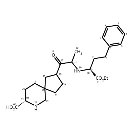 CCOC(=O)[C@H](CCc1ccccc1)NC(C)C(=O)C1CCC2(CC[C@@H](C(=O)O)NC2)C1